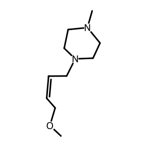 COC/C=C\CN1CCN(C)CC1